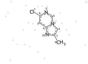 Cc1cn2cnc(Cl)cc2n1